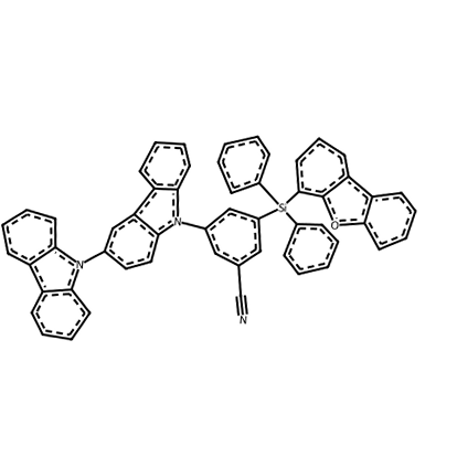 N#Cc1cc(-n2c3ccccc3c3cc(-n4c5ccccc5c5ccccc54)ccc32)cc([Si](c2ccccc2)(c2ccccc2)c2cccc3c2oc2ccccc23)c1